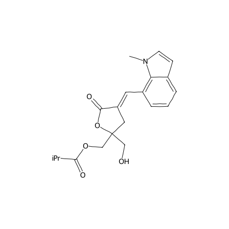 CC(C)C(=O)OCC1(CO)C/C(=C\c2cccc3ccn(C)c23)C(=O)O1